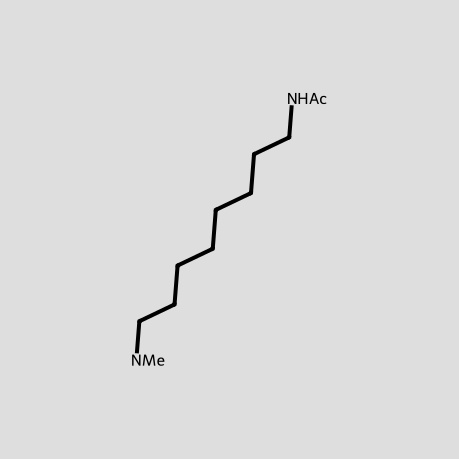 CNCCCCCCCCNC(C)=O